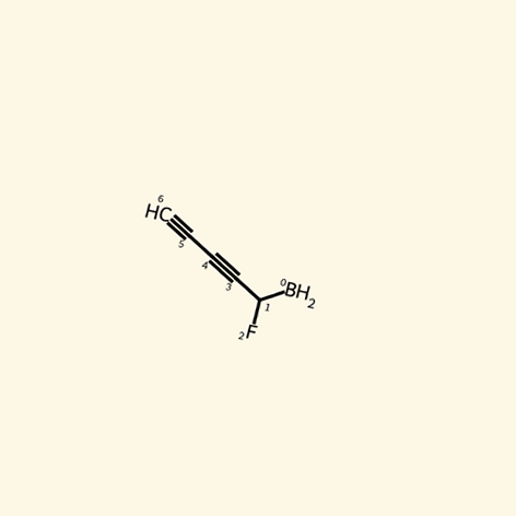 BC(F)C#CC#C